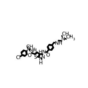 CCN(CC)CCNCc1ccc(C(=O)Nc2n[nH]c3sc(C(=O)NN(C)c4ccc(Cl)cc4)cc23)cc1